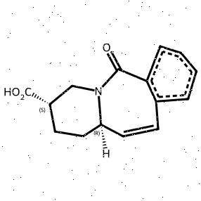 O=C(O)[C@H]1CC[C@@H]2C=Cc3ccccc3C(=O)N2C1